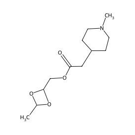 CC1OC(COC(=O)CC2CCN(C)CC2)O1